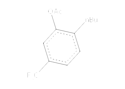 CCCCc1ccc(C(F)(F)F)cc1OC(C)=O